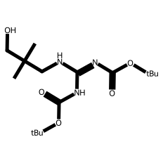 CC(C)(CO)CN/C(=N/C(=O)OC(C)(C)C)NC(=O)OC(C)(C)C